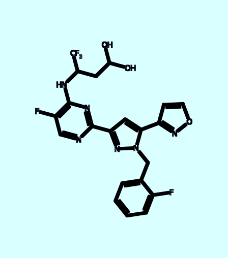 OC(O)CC(Nc1nc(-c2cc(-c3ccon3)n(Cc3ccccc3F)n2)ncc1F)C(F)(F)F